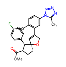 COC(=O)C1CC[C@@]2(C=C(c3cc(-n4nnnc4C(F)(F)F)ccc3SC)CO2)[C@@H]1c1ccc(F)cc1